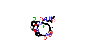 Cc1nc(CN(C)C(=O)[C@H]2/C(F)=C/C[C@H](C)[C@@H](C)S(=O)(=O)NC(=O)c3ccc4c(c3)N3CCCCc5cc(Cl)cc(c5CO4)[C@]4(CCCN24)C3)co1